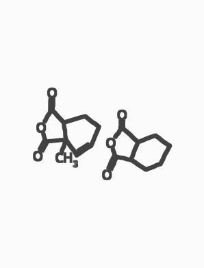 CC12C=CCCC1C(=O)OC2=O.O=C1OC(=O)C2CCCCC12